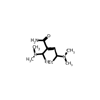 CCC(C=C(C(N)=O)C(CC)N(C)C)N(C)C